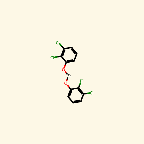 Clc1cccc([O][Zr][O]c2cccc(Cl)c2Cl)c1Cl